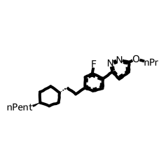 CCCCC[C@H]1CC[C@H](CCc2ccc(-c3ccc(OCCC)nn3)c(F)c2)CC1